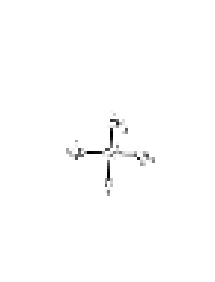 [CH3][Ga-]([CH3])([CH3])[Cl]